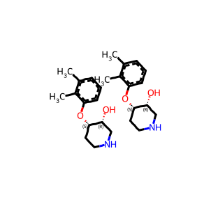 Cc1cccc(O[C@H]2CCNC[C@H]2O)c1C.Cc1cccc(O[C@H]2CCNC[C@H]2O)c1C